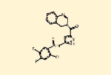 O=C(Nc1cc(C(=O)N2C=Nc3ccccc3C2)n[nH]1)c1cc(F)c(F)cc1Cl